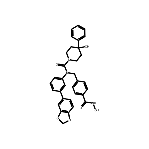 O=C(NO)c1ccc(CN(C(=O)N2CCC(O)(c3ccccc3)CC2)c2cccc(-c3ccc4c(c3)OCO4)c2)cc1